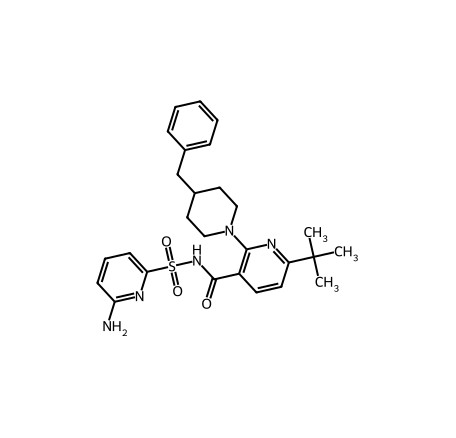 CC(C)(C)c1ccc(C(=O)NS(=O)(=O)c2cccc(N)n2)c(N2CCC(Cc3ccccc3)CC2)n1